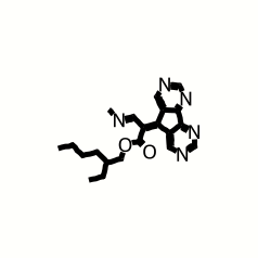 CCCCC(CC)COC(=O)C(/C=N/C)=C1c2cncnc2-c2ncncc21